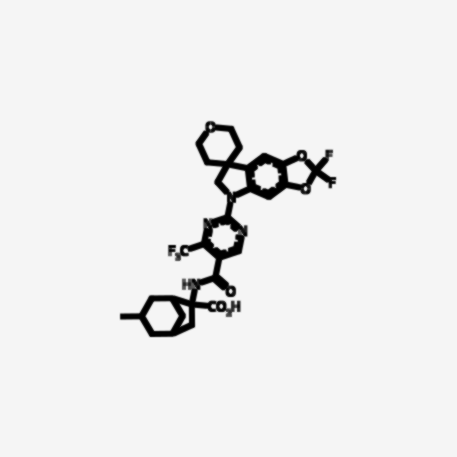 CC1CC2CC(C1)C(NC(=O)c1cnc(N3CC4(CCOCC4)c4cc5c(cc43)OC(F)(F)O5)nc1C(F)(F)F)(C(=O)O)C2